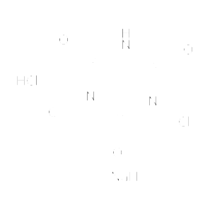 Cl.O=c1[nH]c(=O)n(Cl)c(=O)n1Cl.[NaH]